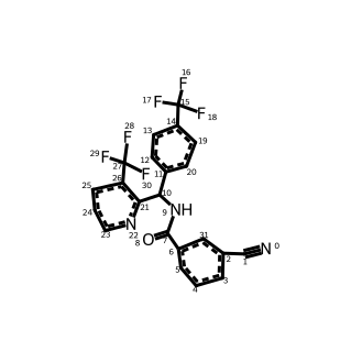 N#Cc1cccc(C(=O)NC(c2ccc(C(F)(F)F)cc2)c2ncccc2C(F)(F)F)c1